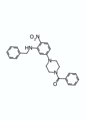 O=C(c1ccccc1)N1CCN(c2ccc([N+](=O)[O-])c(NCc3ccccc3)c2)CC1